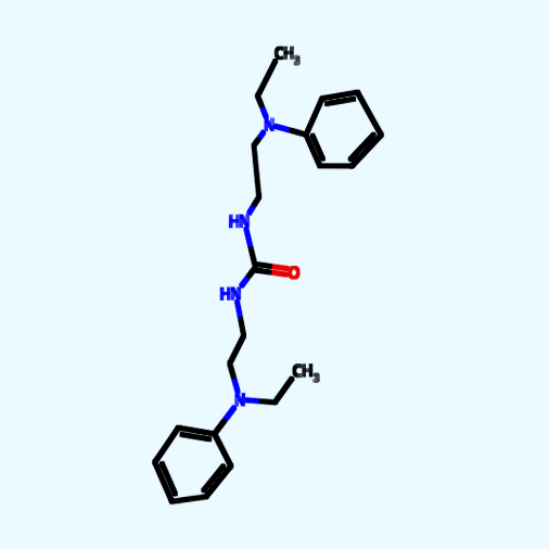 CCN(CCNC(=O)NCCN(CC)c1ccccc1)c1ccccc1